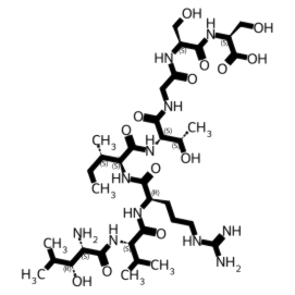 CC[C@H](C)[C@H](NC(=O)[C@@H](CCCNC(=N)N)NC(=O)[C@@H](NC(=O)[C@@H](N)[C@H](O)C(C)C)C(C)C)C(=O)N[C@H](C(=O)NCC(=O)N[C@@H](CO)C(=O)N[C@@H](CO)C(=O)O)[C@H](C)O